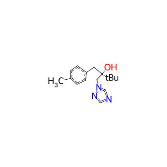 Cc1ccc(CC(O)(Cn2cncn2)C(C)(C)C)cc1